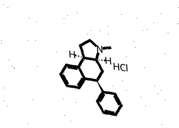 CN1CC[C@@H]2c3ccccc3[C@H](c3ccccc3)C[C@@H]21.Cl